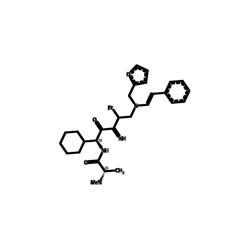 CCC(CN(C=Cc1ccccc1)Cc1ccco1)C(=N)C(=O)[C@@H](NC(=O)[C@H](C)NC)C1CCCCC1